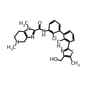 Cc1sc(-c2cccc(-c3cccc(NC(=O)c4nc5c(n4C)CCN(C)C5)c3Cl)c2C)nc1CO